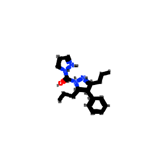 CCCc1nn(C(=O)n2cccn2)c(CCC)c1-c1ccccc1